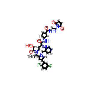 CC(C)(C)[C@H](c1cc(-c2cc(F)ccc2F)cn1Cc1ccccc1)N(CC[C@H](N)C(=O)NC1CCC(C(=O)NCCN2C(=O)C=CC2=O)C1)C(=O)CO